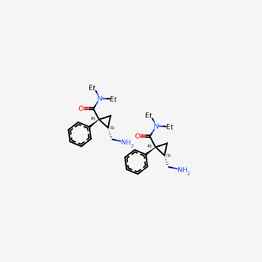 CCN(CC)C(=O)[C@]1(c2ccccc2)C[C@@H]1CN.CCN(CC)C(=O)[C@]1(c2ccccc2)C[C@@H]1CN